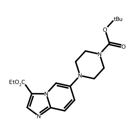 CCOC(=O)c1cnc2ccc(N3CCN(C(=O)OC(C)(C)C)CC3)cn12